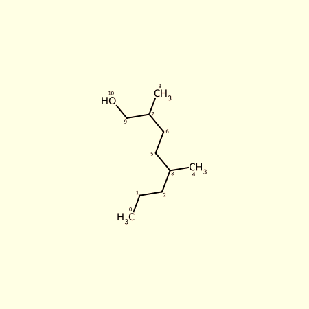 CCCC(C)CCC(C)CO